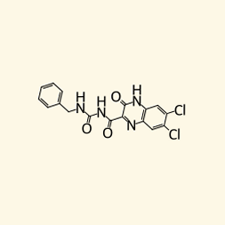 O=C(NCc1ccccc1)NC(=O)c1nc2cc(Cl)c(Cl)cc2[nH]c1=O